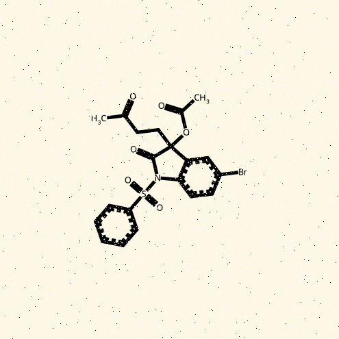 CC(=O)CCC1(OC(C)=O)C(=O)N(S(=O)(=O)c2ccccc2)c2ccc(Br)cc21